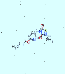 CCCCOc1ccc(Cn2c(=O)sn(CC)c2=O)cn1